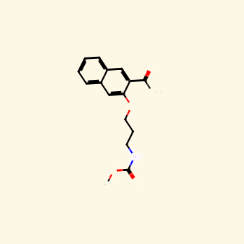 COC(=O)c1cc2ccccc2cc1OCCCNC(=O)OC(C)(C)C